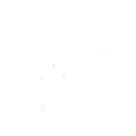 c1ccc(-n2c3ccccc3c3ccc(-c4nc5ccccc5nc4-n4c5ccccc5c5cc6cc(-n7c8ccccc8c8c9ccccc9ccc87)ccc6cc54)cc32)cc1